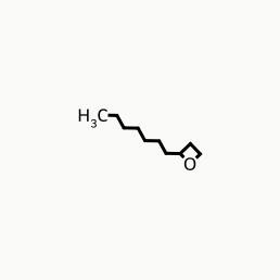 CCCCCCCC1CCO1